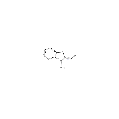 CC(C)/C=C1\Sc2ccccc2N1C